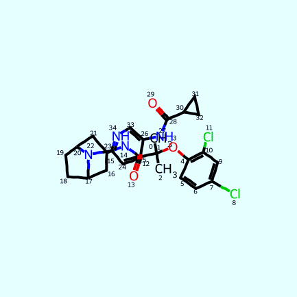 CC(C)(Oc1ccc(Cl)cc1Cl)C(=O)NC1CC2CCC(C1)N2c1ccc(NC(=O)C2CC2)cn1